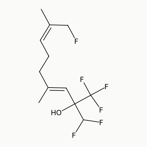 CC(=CCCC(C)=CC(O)(C(F)F)C(F)(F)F)CF